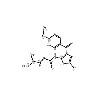 CCc1cc(C(=O)c2ccc(OC(F)(F)F)cc2)c(NC(=O)CNC(C(=O)O)C(C)C)s1